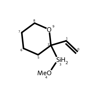 C=CC1([SiH2]OC)CCCCO1